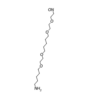 NCCCCCOCCOCCCCCOCCOCCN=O